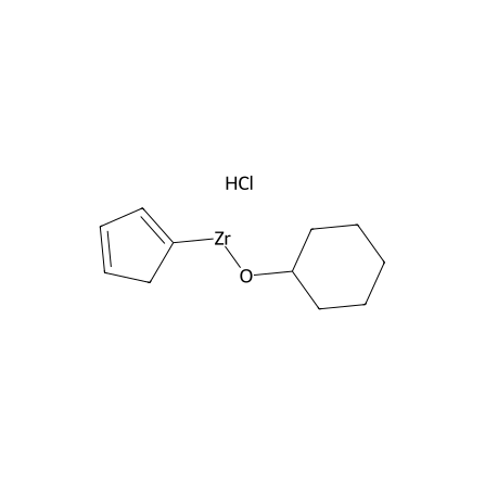 C1=CC[C]([Zr][O]C2CCCCC2)=C1.Cl